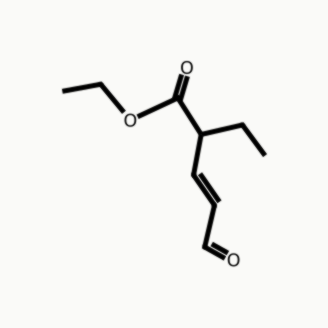 CCOC(=O)C(C=CC=O)CC